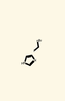 CCCCCI.c1c[nH]cn1